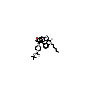 CCCCCN1C(=O)C2(COc3cc4c(cc32)OCO4)c2c(-c3ccccc3N3CCN(C(=O)OC(C)(C)C)CC3)cccc21